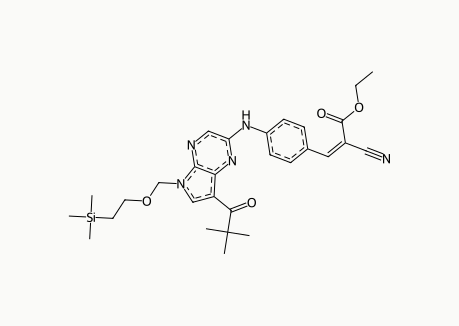 CCOC(=O)/C(C#N)=C\c1ccc(Nc2cnc3c(n2)c(C(=O)C(C)(C)C)cn3COCC[Si](C)(C)C)cc1